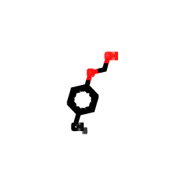 Cc1ccc(OCO)cc1